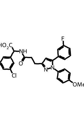 COc1ccc(-n2nc(CCC(=O)NC(C(=O)O)c3cccc(Cl)c3)cc2-c2cccc(F)c2)cc1